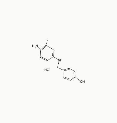 Cc1cc(NCc2ccc(O)cc2)ccc1N.Cl